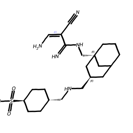 CNS(=O)(=O)[C@H]1CC[C@H](CNC[C@@H]2CC3CCC[C@@](CNC(=N)/C(C#N)=C\N)(C3)C2)CC1